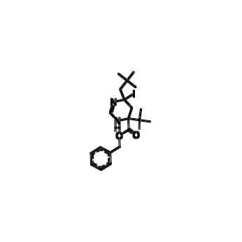 CC(C)(C)CC1(I)CC(C(=O)OCc2ccccc2)(C(C)(C)C)NC=N1